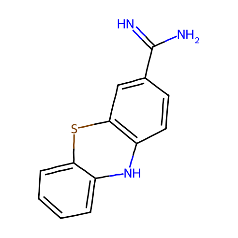 N=C(N)c1ccc2c(c1)Sc1ccccc1N2